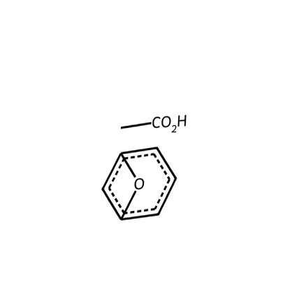 CC(=O)O.c1cc2cc(c1)O2